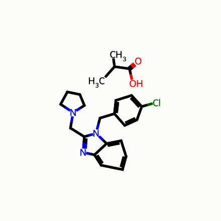 CC(C)C(=O)O.Clc1ccc(Cn2c(CN3CCCC3)nc3ccccc32)cc1